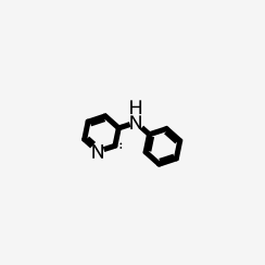 [C]1N=CC=CC1Nc1ccccc1